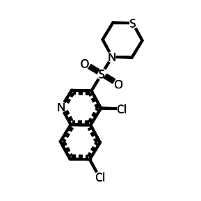 O=S(=O)(c1cnc2ccc(Cl)cc2c1Cl)N1CCSCC1